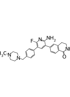 CN1CCN(Cc2ccc(-c3cc(-c4ccc5c(c4)CCNC5=O)c(N)nc3F)cc2)CC1